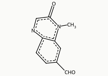 Cn1c(=O)cnc2ccc(C=O)cc21